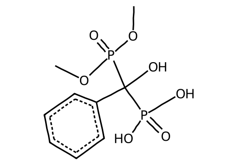 COP(=O)(OC)C(O)(c1ccccc1)P(=O)(O)O